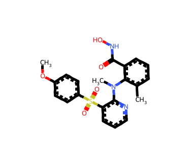 COc1ccc(S(=O)(=O)c2cccnc2N(C)c2c(C)cccc2C(=O)NO)cc1